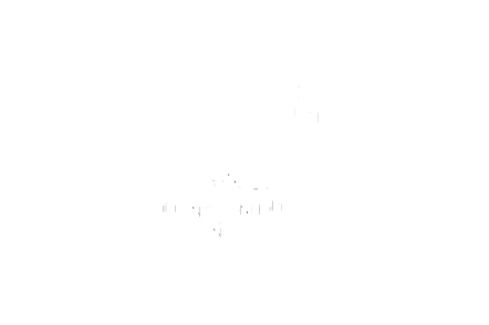 CC(C)n1cnc2[nH]c(=O)n(CCCCO[PH](=O)O)c(=O)c21.CCCC